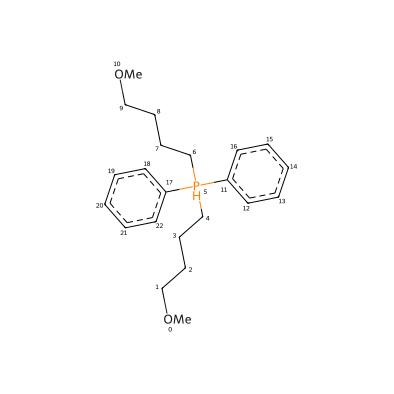 COCCCC[PH](CCCCOC)(c1ccccc1)c1ccccc1